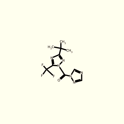 CC(C)(C)c1nc(C(F)(F)F)n(C(=O)n2cncn2)n1